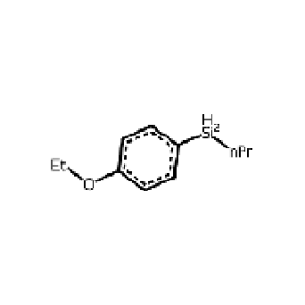 CCC[SiH2]c1ccc(OCC)cc1